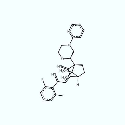 CC1(C)[C@H]2CC[C@]1([C@@H]1CN(c3ccccn3)CCO1)C(=N)/C2=C\C(=N)c1c(F)cccc1F